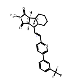 CN1C(=O)[C@@H]2[C@H](C1=O)C(/C=C/c1ccc(-c3cccc(C(F)(F)F)c3)cn1)N1CCCC[C@@H]21